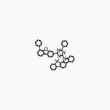 CC1(C)c2ccccc2-c2ccc3c4ccccc4n(-c4nc(-c5ccccc5)nc(-c5ccc6c(c5)oc5c(-c7ccccc7)cccc56)n4)c3c21